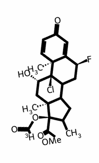 [3H]C(=O)O[C@]1(C(=O)OC)C(C)CC2C3C[C@H](F)C4=CC(=O)C=C[C@]4(C)[C@@]3(Cl)[C@@H](O)C[C@@]21C